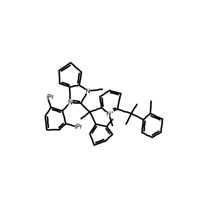 Cc1ccccc1C(C)(C)c1cccc(C(C)(c2ccccc2C)c2n(C)c3ccccc3[n+]2-c2c(C(C)C)cccc2C(C)C)[n+]1C